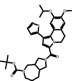 COc1cc2c(cc1OC(C)C)-c1c(-c3cccs3)cc(C(=O)N3CC4CCCN(C(=O)OC(C)(C)C)CC4C3)n1CC2